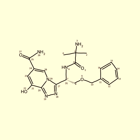 CC(C)(N)C(=O)N[C@H](COCc1ccccc1)c1nnc2c(O)cc(C(N)=O)cn12